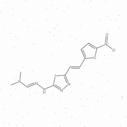 CN(C)C=NNc1nnc(C=Cc2ccc([N+](=O)[O-])o2)s1